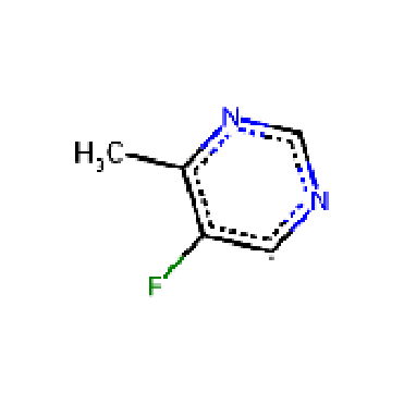 Cc1ncn[c]c1F